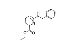 CCOC(=O)C1CC2CCN1C(NCc1ccccc1)C2